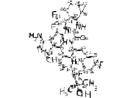 Cn1nc(N)c2cccc(-c3ccc(C#CC(C)(C)O)nc3C(Cc3cc(F)cc(F)c3)NC(=O)CNC3=C(C(=N)C(F)F)CCC4CC34)c21